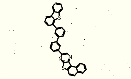 c1cc(-c2cccc(-c3cccc4c3sc3ccccc34)c2)cc(-c2cnc3c(n2)sc2ccc4ccccc4c23)c1